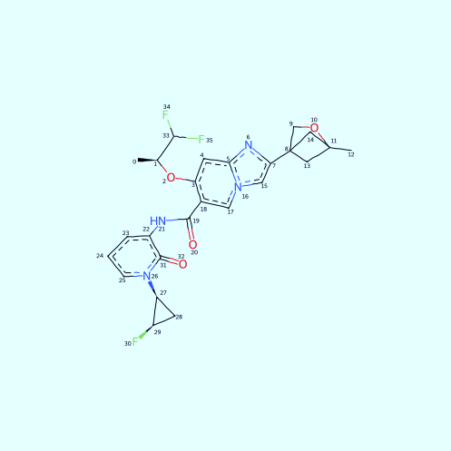 C[C@H](Oc1cc2nc(C34COC(C)(C3)C4)cn2cc1C(=O)Nc1cccn([C@H]2C[C@H]2F)c1=O)C(F)F